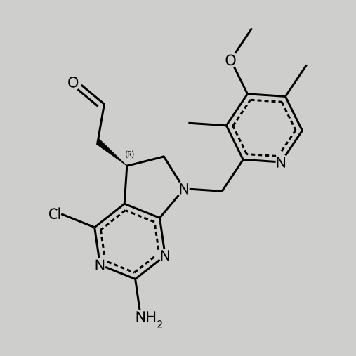 COc1c(C)cnc(CN2C[C@H](CC=O)c3c(Cl)nc(N)nc32)c1C